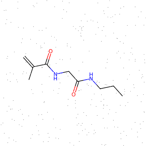 C=C(C)C(=O)NCC(=O)NCCC